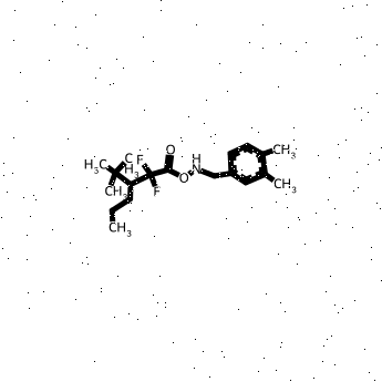 CCCC(C(C)(C)C)C(F)(F)C(=O)ONCc1ccc(C)c(C)c1